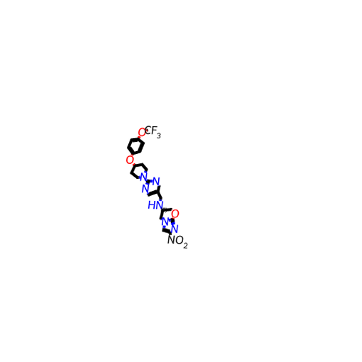 O=[N+]([O-])c1cn2c(n1)OC[C@@H](NCc1cnc(N3CCC(Oc4ccc(OC(F)(F)F)cc4)CC3)nc1)C2